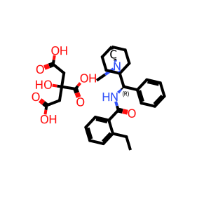 CCc1ccccc1C(=O)N[C@H](c1ccccc1)C12CCC(CC1)CN2C.O=C(O)CC(O)(CC(=O)O)C(=O)O